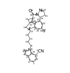 N#Cc1cccc2cnn(CCCCCCC34CC(C(=O)N5N=CCC5c5cc(F)cc(F)c5)(C3)C4)c12